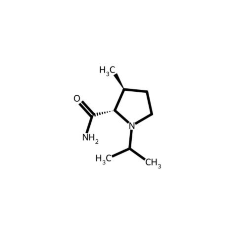 CC(C)N1CC[C@H](C)[C@H]1C(N)=O